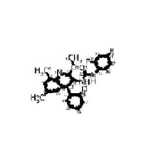 COc1nc2c(C)cc(C)cc2c(-c2ccccc2Cl)c1NC(=O)Nc1ccc(F)cc1F